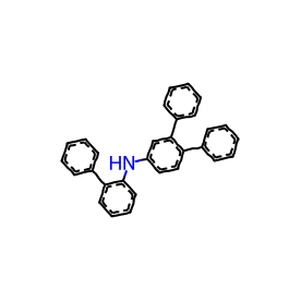 c1ccc(-c2ccccc2Nc2ccc(-c3ccccc3)c(-c3ccccc3)c2)cc1